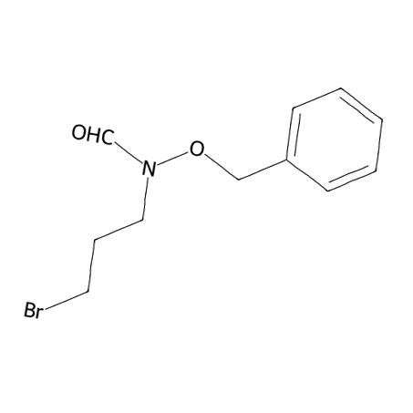 O=CN(CCCBr)OCc1ccccc1